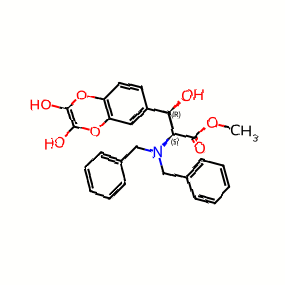 COC(=O)[C@H]([C@H](O)c1ccc2c(c1)OC(O)=C(O)O2)N(Cc1ccccc1)Cc1ccccc1